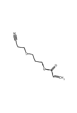 C=CC(=O)OCCCOCCC#N